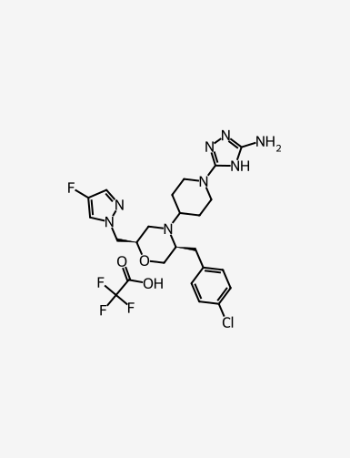 Nc1nnc(N2CCC(N3C[C@H](Cn4cc(F)cn4)OC[C@@H]3Cc3ccc(Cl)cc3)CC2)[nH]1.O=C(O)C(F)(F)F